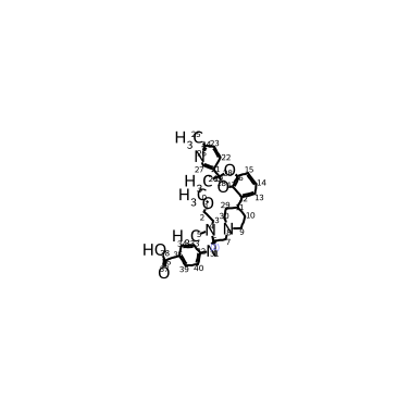 COCCN(C)/C(CN1CCC(c2cccc3c2OC(C)(c2ccc(C)nc2)O3)CC1)=N\c1ccc(C(=O)O)cc1